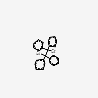 CCC(c1ccccc1)(c1ccccc1)C(CC)(c1ccccc1)c1ccccc1